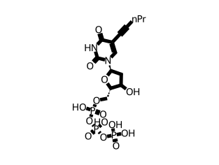 CCCC#Cc1cn([C@@H]2CC(O)[C@H](COP(=O)(O)OP(=O)(O)OP(=O)(O)O)O2)c(=O)[nH]c1=O